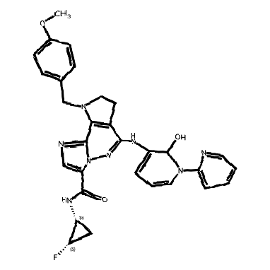 COc1ccc(CN2CCc3c(NC4=CC=CN(c5ccccn5)C4O)nn4c(C(=O)N[C@@H]5C[C@@H]5F)cnc4c32)cc1